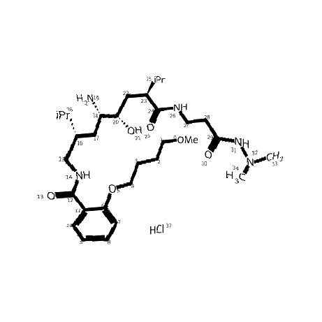 COCCCCOc1ccccc1C(=O)NC[C@@H](C[C@H](N)[C@@H](O)C[C@H](C(=O)NCCC(=O)NN(C)C)C(C)C)C(C)C.Cl